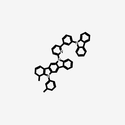 CC1C=C(n2c3c(c4cc5c(cc42)c2ccccc2n5-c2cccc(-c4cccc(-n5c6ccccc6c6ccccc65)c4)n2)C=CCC3C)C=CC1